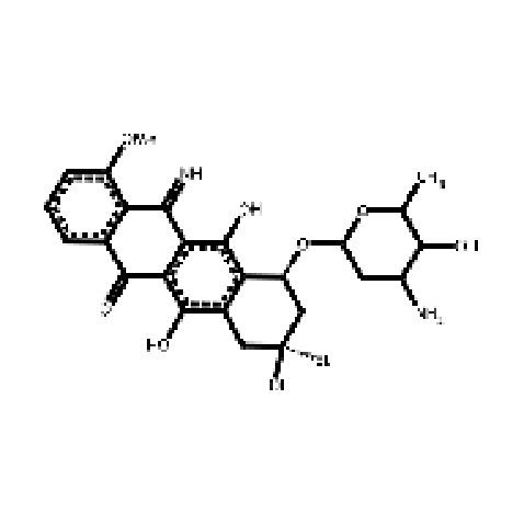 CC[C@]1(O)Cc2c(O)c3c(c(O)c2[C@@H](OC2CC(N)C(O)C(C)O2)C1)C(=N)c1c(OC)cccc1C3=O